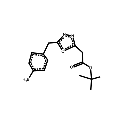 Bc1ccc(Cc2nnc(CC(=O)OC(C)(C)C)o2)cc1